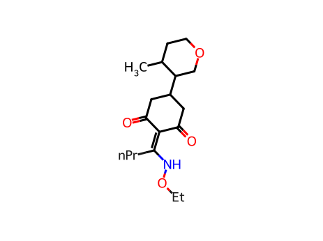 CCCC(NOCC)=C1C(=O)CC(C2COCCC2C)CC1=O